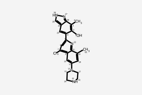 Cc1c(O)c(-c2cc(Cl)c3cc(N4CCNCC4)cc(C)c3n2)cc2c[nH]nc12